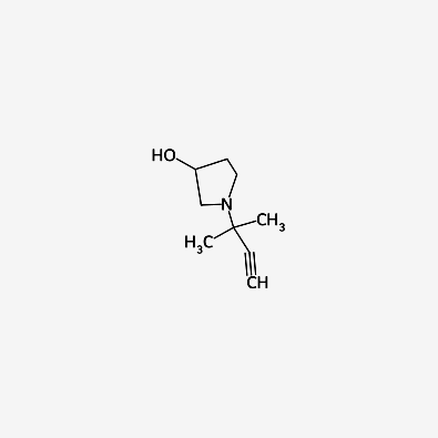 C#CC(C)(C)N1CCC(O)C1